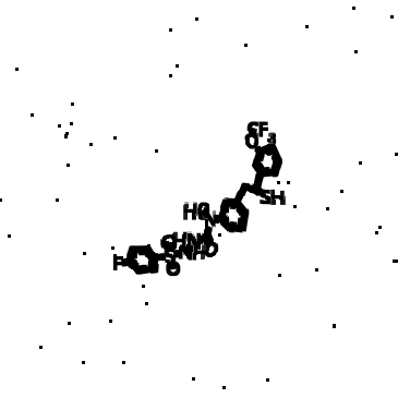 O=C(NNS(=O)(=O)c1ccc(F)cc1)N(O)c1cccc(CC(S)c2cccc(OC(F)(F)F)c2)c1